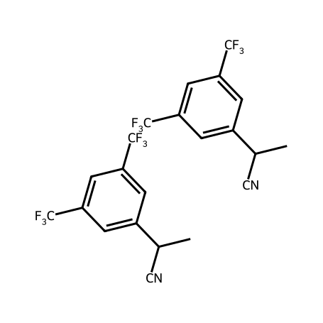 CC(C#N)c1cc(C(F)(F)F)cc(C(F)(F)F)c1.CC(C#N)c1cc(C(F)(F)F)cc(C(F)(F)F)c1